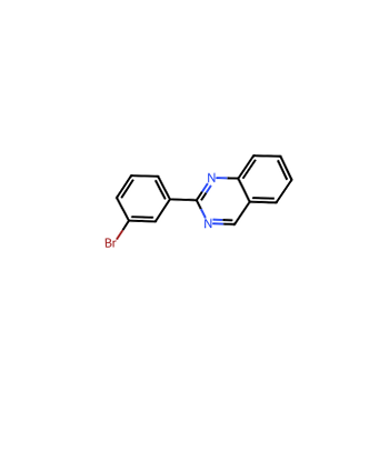 Brc1cccc(-c2ncc3ccccc3n2)c1